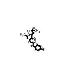 CC(C)C[C@H](NC(=O)Nc1ccc(Br)cc1)C(=O)NCC(C)(C)O